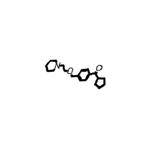 O=C(c1ccc(COCCN2CCCCC2)cc1)C1CCCC1